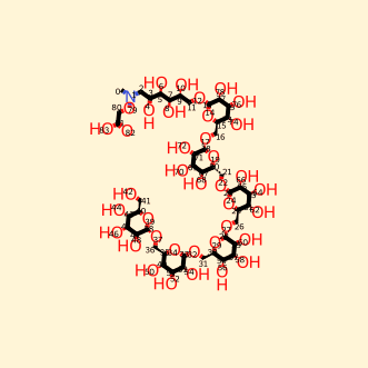 CN(CC(O)[C@@H](O)[C@H](O)[C@H](O)COC1O[C@H](CO[C@@H]2O[C@H](COC3O[C@H](CO[C@@H]4O[C@H](COC5O[C@H](CO[C@@H]6O[C@H](CO)[C@@H](O)[C@H](O)C6O)[C@@H](O)C(O)[C@H]5O)[C@@H](O)[C@H](O)C4O)[C@@H](O)[C@H](O)[C@H]3O)[C@@H](O)[C@H](O)C2O)[C@@H](O)C(O)[C@H]1O)OCC(=O)O